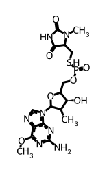 COc1nc(N)nc2c1ncn2C1OC(CO[PH](=O)SCC2C(=O)NC(=O)N2C)[C@@H](O)C1C